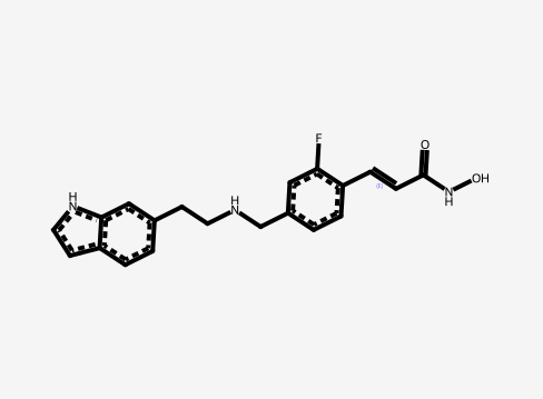 O=C(/C=C/c1ccc(CNCCc2ccc3cc[nH]c3c2)cc1F)NO